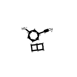 C#Cc1cccc(S)c1.C1CC2CCC12